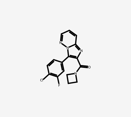 O=C(c1nc2cccnn2c1-c1ccc(Cl)c(F)c1)N1CCC1